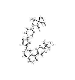 CC(C)(C)C(=O)ON1CCC(n2cc(-c3cnc4cccc(-c5ccc(S(C)(=O)=O)cc5)c4n3)cn2)CC1